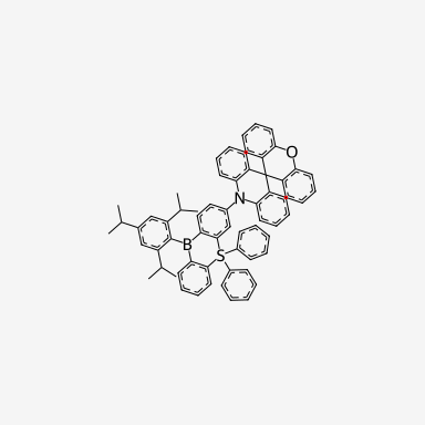 CC(C)c1cc(C(C)C)c(B2c3ccccc3S(c3ccccc3)(c3ccccc3)c3cc(N4c5ccccc5C5(c6ccccc6Oc6ccccc65)c5ccccc54)ccc32)c(C(C)C)c1